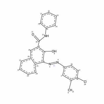 Cc1cc(/N=N/c2c(O)c(C(=O)Nc3ccccc3)cc3ccccc23)ccc1Cl